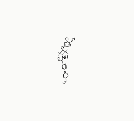 CC1(C)[C@H](NC(=O)c2ccc(N3CCC(C=O)CC3)nc2)C(C)(C)[C@H]1Oc1cnc(C#N)c(Cl)c1